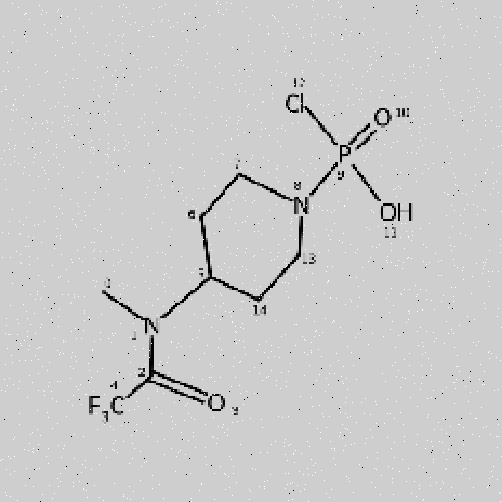 CN(C(=O)C(F)(F)F)C1CCN(P(=O)(O)Cl)CC1